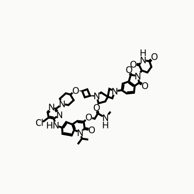 CNC(=O)COc1cc2cc(Nc3nc(N4CCC(O[C@H]5C[C@H](N6CCC7(CN(c8ccc9c(c8)C(=O)N(C8CCC(=O)NC8=O)C9=O)C7)C6)C5)CC4)ncc3Cl)ccc2n(C(C)C)c1=O